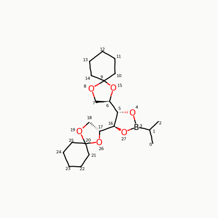 CC(C)B1O[C@@H]([C@H]2COC3(CCCCC3)O2)[C@H]([C@H]2COC3(CCCCC3)O2)O1